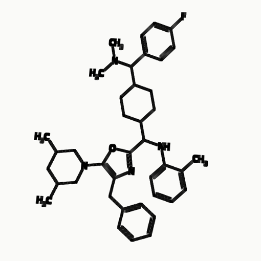 Cc1ccccc1NC(c1nc(Cc2ccccc2)c(N2CC(C)CC(C)C2)o1)C1CCC(C(c2ccc(F)cc2)N(C)C)CC1